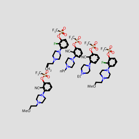 C=CCN1CCN(c2cccc(OS(=O)(=O)C(F)(F)F)c2F)CC1.CCCN1CCN(c2cccc(OS(=O)(=O)C(F)(F)F)c2C#N)CC1.CCN1CCN(c2cccc(OS(=O)(=O)C(F)(F)F)c2C#N)CC1.COCCN1CCN(c2cccc(OS(=O)(=O)C(F)(F)F)c2C#N)CC1.COCCN1CCN(c2cccc(OS(=O)(=O)C(F)(F)F)c2F)CC1